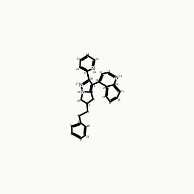 c1ccc(CCC2Cc3c(-c4ccnc5ccccc45)c(-c4ccccn4)nn3C2)cc1